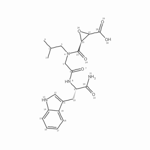 CC(C)CN(CC(=O)N[C@@H](Cc1c[nH]c2ccccc12)C(N)=O)C(=O)[C@H]1OC1C(=O)O